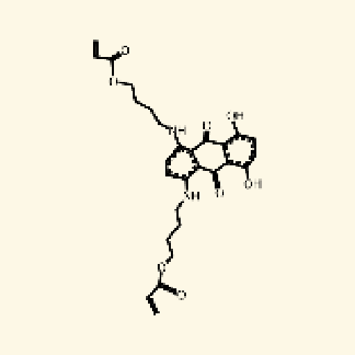 C=CC(=O)OCCCCNc1ccc(NCCCCOC(=O)C=C)c2c1C(=O)c1c(O)ccc(O)c1C2=O